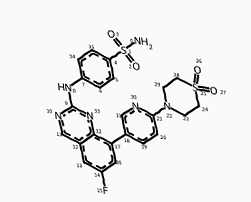 NS(=O)(=O)c1ccc(Nc2ncc3cc(F)cc(-c4ccc(N5CCS(=O)(=O)CC5)nc4)c3n2)cc1